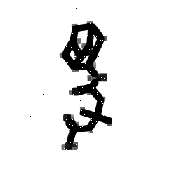 CC(C)(CC(=O)O)CC(=O)NC1C2CC3CC(C2)CC1C3